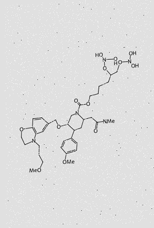 CNC(=O)CC1CC(c2ccc(OC)cc2)C(OCc2ccc3c(c2)N(CCCOC)CCO3)CN1C(=O)OCCCCC(CON(O)O)ON(O)O